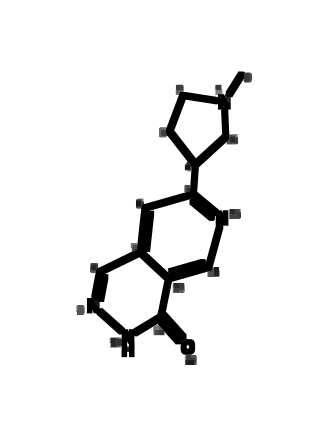 CN1CCC(c2cc3cn[nH]c(=O)c3cn2)C1